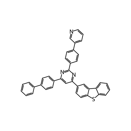 c1ccc(-c2ccc(-c3cc(-c4ccc5sc6ccccc6c5c4)nc(-c4ccc(-c5cccnc5)cc4)n3)cc2)cc1